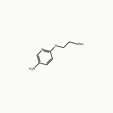 CCCCCCCCOc1ccc(N)cn1